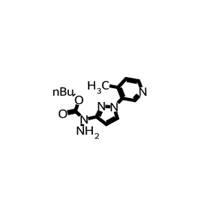 CCCCOC(=O)N(N)c1ccn(-c2cnccc2C)n1